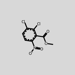 COC(=O)c1c([N+](=O)[O-])ccc(Cl)c1Cl